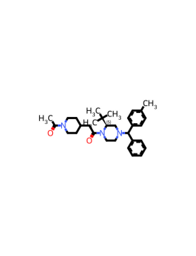 CC(=O)N1CCC(CC(=O)N2CCN(C(c3ccccc3)c3ccc(C)cc3)C[C@@H]2C(C)(C)C)CC1